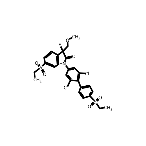 CCS(=O)(=O)c1ccc(-c2c(Cl)cc(NC(=O)C(F)(COC)c3ccc(S(=O)(=O)CC)cc3)cc2Cl)cc1